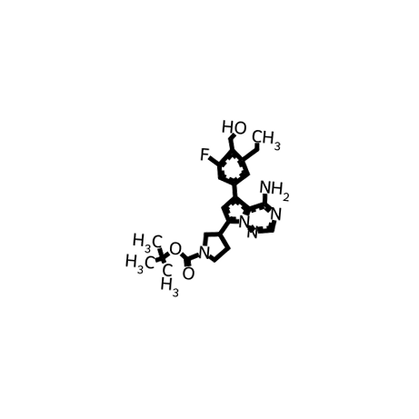 CCc1cc(-c2cc(C3CCN(C(=O)OC(C)(C)C)C3)n3ncnc(N)c23)cc(F)c1CO